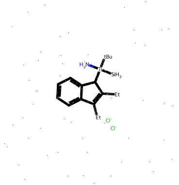 CCC1=C(CC)[CH]([Ti]([NH2])([SiH3])[C](C)(C)C)c2ccccc21.[Cl-].[Cl-]